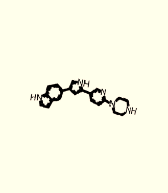 c1cc2cc(-c3c[nH]c(-c4ccc(N5CCNCC5)nc4)c3)ccc2[nH]1